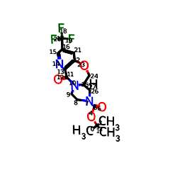 CC(C)(C)OC(=O)N1CCN2C(=O)c3ncc(C(F)(F)F)cc3OC[C@H]2C1